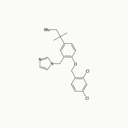 CC(C)(C)CC(C)(C)c1ccc(OCc2ccc(Cl)cc2Cl)c(Cn2ccnc2)c1